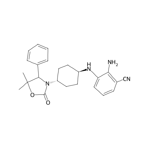 CC1(C)OC(=O)N([C@H]2CC[C@H](Nc3cccc(C#N)c3N)CC2)C1c1ccccc1